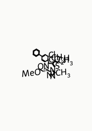 COC(=O)C[C@@H]1N=C(C2(C(=O)O)C=CC(c3ccccc3)=CC2Cl)c2c(sc(C)c2C)-n2c(C)nnc21